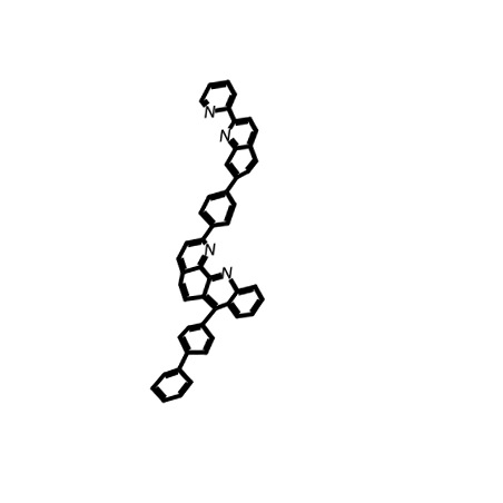 c1ccc(-c2ccc(-c3c4ccccc4nc4c3ccc3ccc(-c5ccc(-c6ccc7ccc(-c8ccccn8)nc7c6)cc5)nc34)cc2)cc1